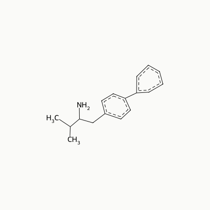 CC(C)C(N)Cc1ccc(-c2ccccc2)cc1